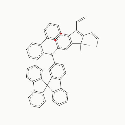 C=CC1=C(/C=C\C)C(C)(C)c2cc(N(c3ccc4c(c3)C3(c5ccccc5-c5ccccc53)c3ccccc3-4)c3ccccc3-c3ccccc3)ccc21